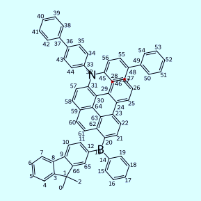 CC1(C)c2ccccc2-c2ccc(B(c3ccccc3)c3ccc4c5ccccc5c5c(N(c6ccc(-c7ccccc7)cc6)c6ccc(-c7ccccc7)cc6)ccc6ccc3c4c65)cc21